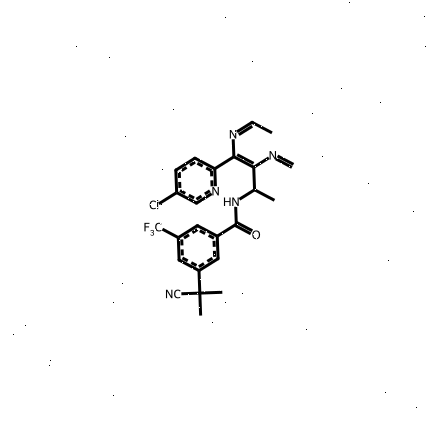 C=N/C(=C(\N=C/C)c1ccc(Cl)cn1)C(C)NC(=O)c1cc(C(F)(F)F)cc(C(C)(C)C#N)c1